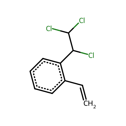 C=Cc1ccccc1C(Cl)C(Cl)Cl